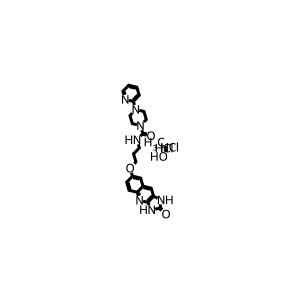 CCO.Cl.Cl.O=C(NCCCOc1ccc2nc3[nH]c(=O)[nH]c3cc2c1)N1CCN(c2ccccn2)CC1